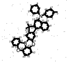 Cc1ccc(N(c2ccccc2)c2cc3c(c4ccccc24)-c2cc4c(cc2C3(C)C)B2c3ccccc3Oc3cccc(c32)O4)cc1